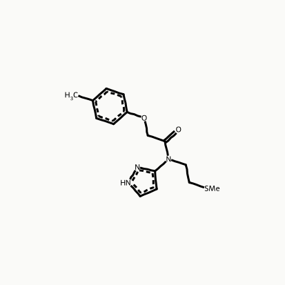 CSCCN(C(=O)COc1ccc(C)cc1)c1cc[nH]n1